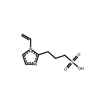 C=Cn1ccnc1CCCS(=O)(=O)O